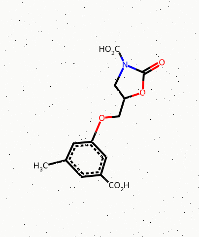 Cc1cc(OCC2CN(C(=O)O)C(=O)O2)cc(C(=O)O)c1